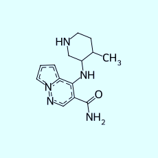 CC1CCNCC1Nc1c(C(N)=O)cnn2cccc12